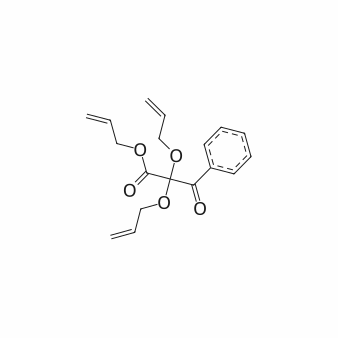 C=CCOC(=O)C(OCC=C)(OCC=C)C(=O)c1ccccc1